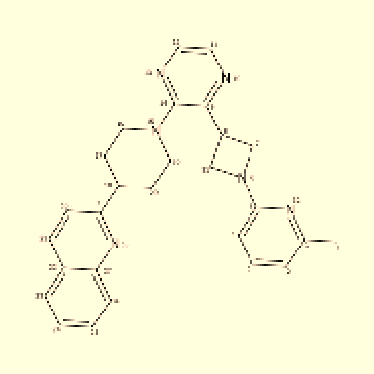 Cc1cccc(N2CC(c3nccnc3N3CCC(c4ccc5ccccc5n4)CC3)C2)n1